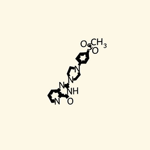 CS(=O)(=O)c1ccc(N2CCN(c3nc4cccnc4c(=O)[nH]3)CC2)cc1